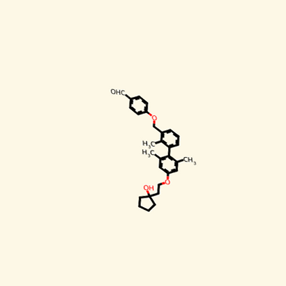 Cc1cc(OCCC2(O)CCCC2)cc(C)c1-c1cccc(COc2ccc(C=O)cc2)c1C